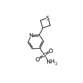 NS(=O)(=O)c1ccnc(C2CSC2)c1